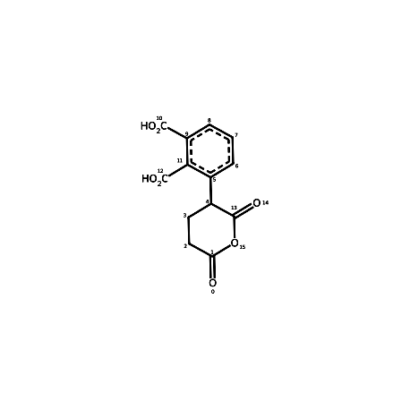 O=C1CCC(c2cccc(C(=O)O)c2C(=O)O)C(=O)O1